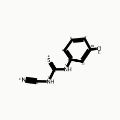 N#CNC(=S)Nc1cccc(Cl)c1